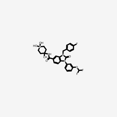 CC1(NC(=O)c2ccc3c(c2)n(Cc2ccc(F)cc2)c(=O)n3-c2cccc(OC(F)F)c2)CCS(O)(O)CC1